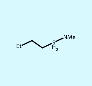 CCCC[SH2]NC